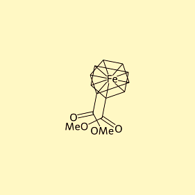 COC(=O)[C]12[CH]3[CH]4[CH]5[CH]1[Fe]45321678[CH]2[CH]1[CH]6[C]7(C(=O)OC)[CH]28